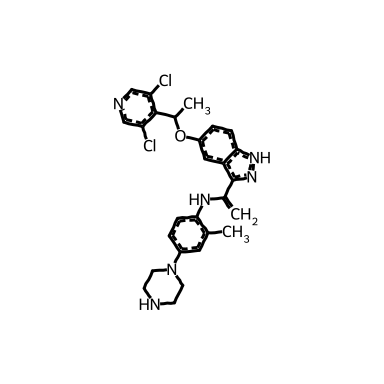 C=C(Nc1ccc(N2CCNCC2)cc1C)c1n[nH]c2ccc(OC(C)c3c(Cl)cncc3Cl)cc12